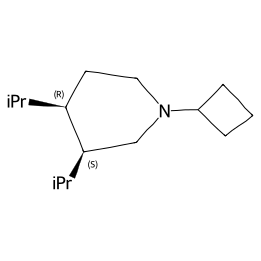 CC(C)[C@H]1CCN(C2CCC2)C[C@H]1C(C)C